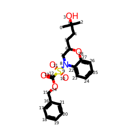 CC(C)(O)CCC1CN(S(=O)(=O)C(=O)OCc2ccccc2)c2ccccc2O1